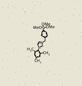 CO[Si](OC)(OC)c1ccc(CN2[C]N(c3c(C)cc(C)cc3C)C=C2)cc1